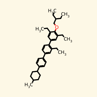 CCc1cc(-c2ccc(C3CCC(C)CC3)cc2)ccc1-c1cc(CC)c(OCC(CC)CC)c(CC)c1